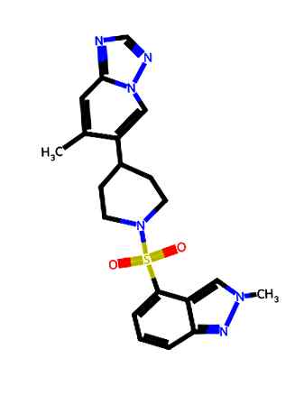 Cc1cc2ncnn2cc1C1CCN(S(=O)(=O)c2cccc3nn(C)cc23)CC1